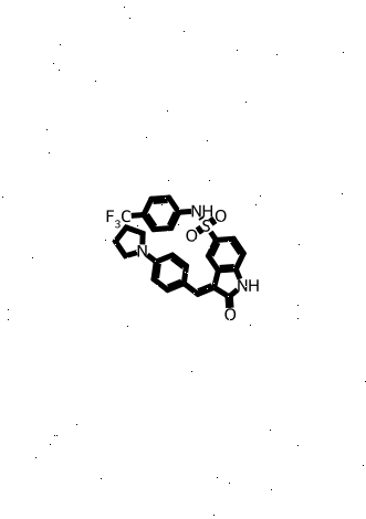 O=C1Nc2ccc(S(=O)(=O)Nc3ccc(C(F)(F)F)cc3)cc2C1=Cc1ccc(N2CCCC2)cc1